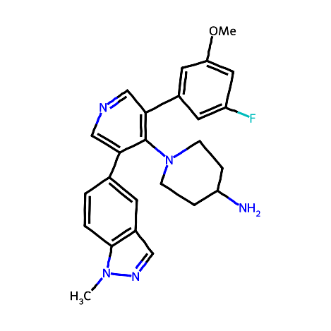 COc1cc(F)cc(-c2cncc(-c3ccc4c(cnn4C)c3)c2N2CCC(N)CC2)c1